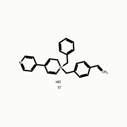 C=Cc1ccc(C[N+]2(Cc3ccccc3)C=CC(c3ccncc3)=CC2)cc1.Cl.[Cl-]